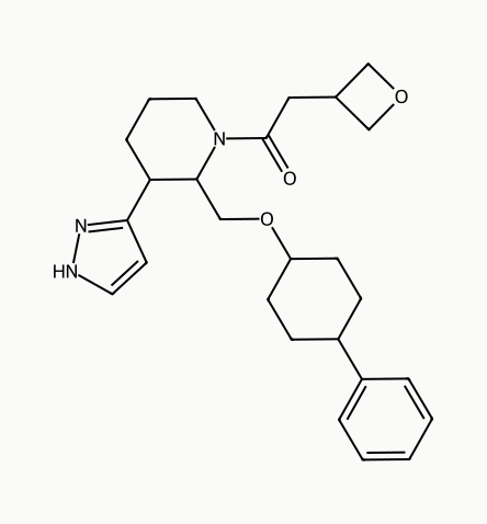 O=C(CC1COC1)N1CCCC(c2cc[nH]n2)C1COC1CCC(c2ccccc2)CC1